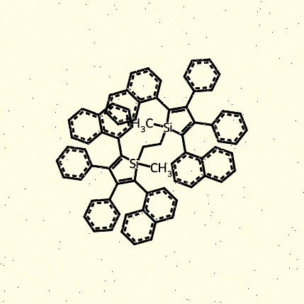 C[Si]1(CC[Si]2(C)C(c3cccc4ccccc34)=C(c3ccccc3)C(c3ccccc3)=C2c2cccc3ccccc23)C(c2cccc3ccccc23)=C(c2ccccc2)C(c2ccccc2)=C1c1cccc2ccccc12